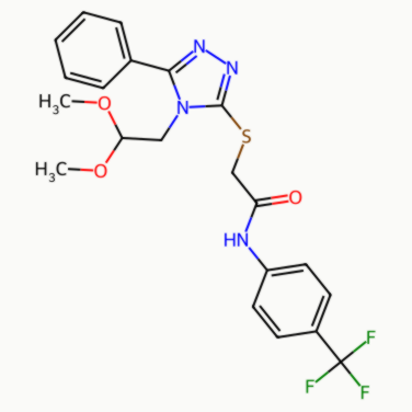 COC(Cn1c(SCC(=O)Nc2ccc(C(F)(F)F)cc2)nnc1-c1ccccc1)OC